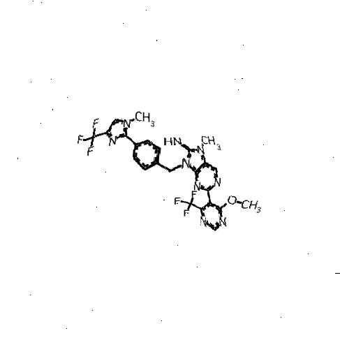 COc1ncnc(C(F)(F)F)c1-c1ncc2c(n1)n(Cc1ccc(-c3nc(C(F)(F)F)cn3C)cc1)c(=N)n2C